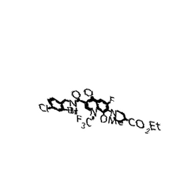 CCOC(=O)C1CCN(c2c(F)cc3c(=O)c(C(=O)NCc4ccc(Cl)cc4Br)cn(CC(F)(F)F)c3c2OC)CC1